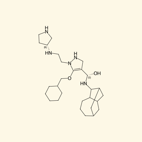 O[C@H](NC1C2CC3CCCC1C(C3)C2)C1=C(OCC2CCCCC2)N(CCN[C@@H]2CCNC2)NC1